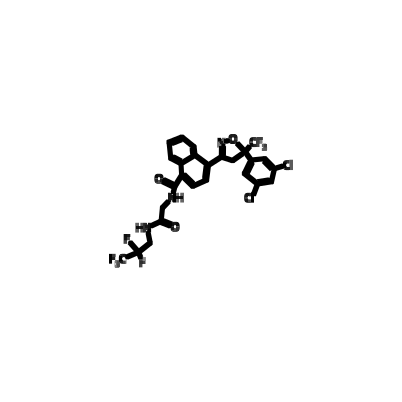 O=C(CNC(=O)c1ccc(C2=NOC(c3cc(Cl)cc(Cl)c3)(C(F)(F)F)C2)c2ccccc12)NCC(F)(F)C(F)(F)F